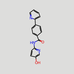 O=C(Nc1ccc(O)cn1)c1ccc(-c2ccccn2)cc1